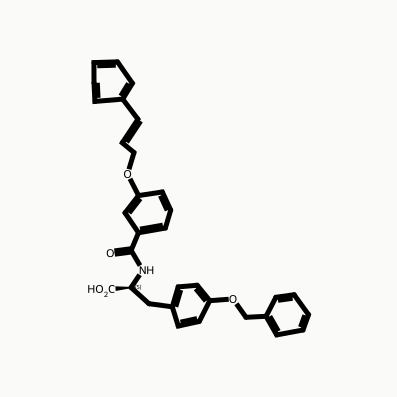 O=C(N[C@@H](Cc1ccc(OCc2ccccc2)cc1)C(=O)O)c1cccc(OCC=Cc2ccccc2)c1